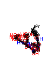 CC(C)CCCC(C)C1CCC2C3CC=C4C[C@@H](OC(=O)NCCCCCC(=O)N5C[C@H](OP(=O)(O)OC[C@@H]6C[C@@H](O)CN6C(=O)CCCCCNC(=O)[C@H](CCCCNC(=O)CCCCOC6OC(CO)C(O)C(O)C6O)NC(=O)CCCCOC6OC(CO)C(O)C(O)C6O)C[C@H]5COP(=O)(O)S)CC[C@]4(C)C3CC[C@]12C